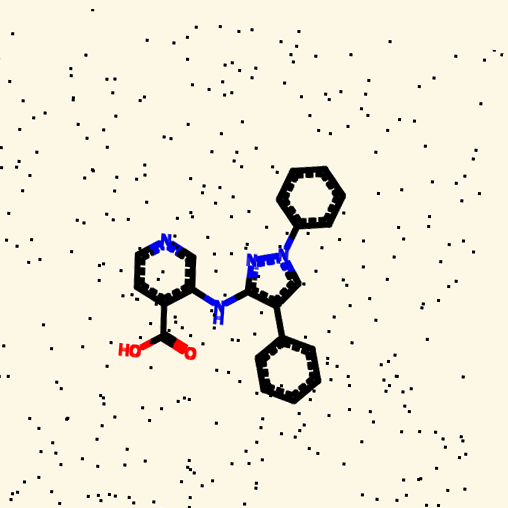 O=C(O)c1ccncc1Nc1nn(-c2ccccc2)cc1-c1ccccc1